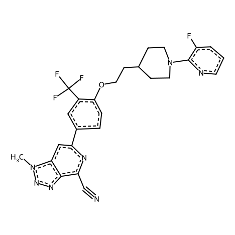 Cn1nnc2c(C#N)nc(-c3ccc(OCCC4CCN(c5ncccc5F)CC4)c(C(F)(F)F)c3)cc21